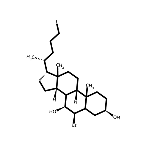 CC[C@@H]1C2C[C@H](O)CCC2(C)[C@H]2CCC3(C)[C@@H]([C@H](C)CCCI)CC[C@H]3C2[C@@H]1O